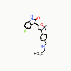 CC1(C)OC(=C2C(=O)Nc3ccc(F)cc32)C=C1c1ccc(CNCC(=O)O)cc1